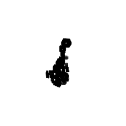 O=C(O[C@H]1C[N+]2(CCCOc3ccccc3)CCC1CC2)C(O)(c1ccco1)c1cccs1